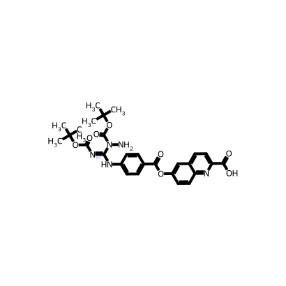 CC(C)(C)OC(=O)/N=C(/Nc1ccc(C(=O)Oc2ccc3nc(C(=O)O)ccc3c2)cc1)N(N)C(=O)OC(C)(C)C